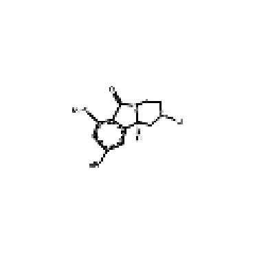 CCCc1cc(SC)c2c(c1)[C@H]1CN(Cl)CCN1C2=O